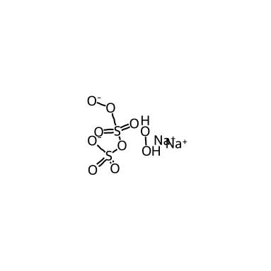 O=S(=O)([O-])OS(=O)(=O)O[O-].OO.[Na+].[Na+]